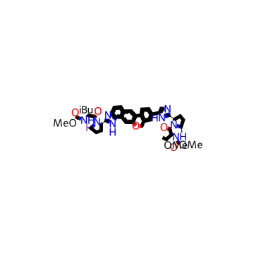 CC[C@H](C)[C@H](NC(=O)OC)C(=O)N1[C@@H](I)CC[C@H]1c1nc2ccc3cc4c(cc3c2[nH]1)OCc1cc(-c2cnc([C@@H]3CC[C@H](C)N3C(=O)[C@@H](NC(=O)OC)[C@@H](C)OC)[nH]2)ccc1-4